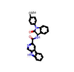 COc1ccc(N2C(=O)C(NC(=O)c3cc4c(cn3)[nH]c3ccccc34)c3ccccc32)cc1